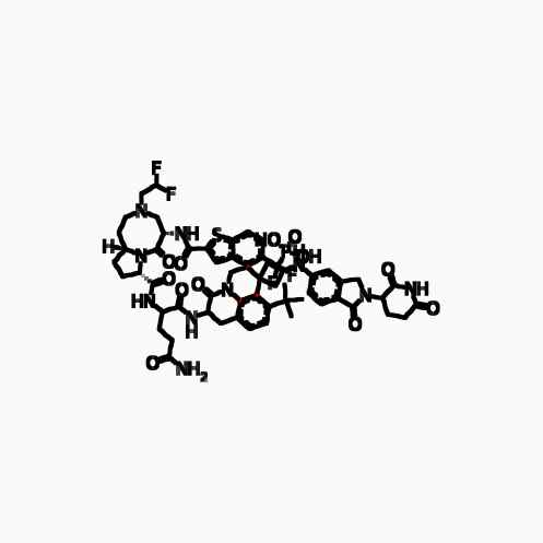 CC(C)(C)c1ccc(CC(NC(=O)C(CCC(N)=O)NC(=O)[C@@H]2CC[C@@H]3CCN(CC(F)F)C[C@H](NC(=O)c4cc5cc(C(F)(F)P(=O)(O)O)ccc5s4)C(=O)N32)C(=O)N2CCC3(CC2)CC(Nc2ccc4c(c2)CN(C2CCC(=O)NC2=O)C4=O)C3)cc1